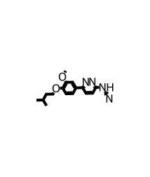 COc1cc(-c2ccc(NC#N)nn2)ccc1OCCC(C)C